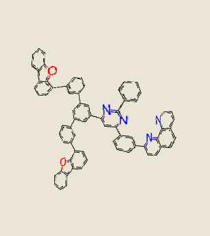 c1ccc(-c2nc(-c3cc(-c4cccc(-c5cccc6c5oc5ccccc56)c4)cc(-c4cccc(-c5cccc6c5oc5ccccc56)c4)c3)cc(-c3cccc(-c4ccc5ccc6cccnc6c5n4)c3)n2)cc1